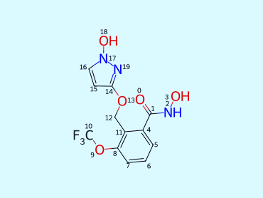 O=C(NO)c1cccc(OC(F)(F)F)c1COc1ccn(O)n1